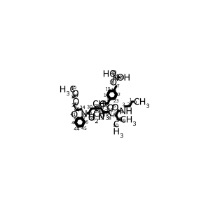 CCCCNC(=O)[C@@H](C[C@H](OC(=O)c1ccc(CON(O)O)cc1)C(N)CC(C)(C)CC(=O)N1C[C@H](COCOC)Oc2ccccc21)C(C)C